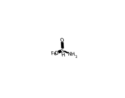 N[SH](=O)=O.[Fe]